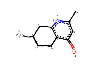 Cc1cc(=O)c2c([nH]1)CC(C(F)(F)F)CC2